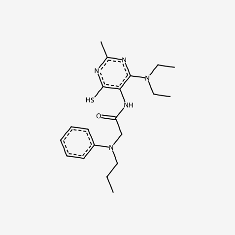 CCCN(CC(=O)Nc1c(S)nc(C)nc1N(CC)CC)c1ccccc1